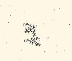 CCCS[Si](CC)(SCCC)C(CC)SSSSC(CC)[Si](CC)(SCCC)SCCC